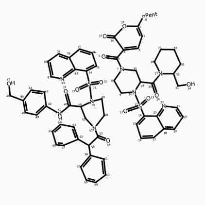 CCCCCc1ccc(C(=O)N2CCN(S(=O)(=O)c3cccc4cccnc34)C(C(=O)N3CCCCC3CO)C2)c(=O)o1.O=C(Nc1ccc(CO)cc1)C1CN(C(=O)C(c2ccccc2)c2ccccc2)CCN1S(=O)(=O)c1cccc2cccnc12